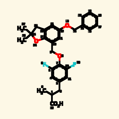 CC(Cc1cc(F)c(OCc2cc(OCc3ccccc3)cc3c2OC(C)(C)C3)c(F)c1)C(=O)O